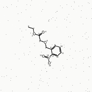 CCOC(=O)COCc1ccccc1[N+](=O)[O-]